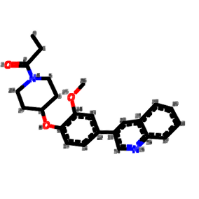 CCC(=O)N1CCC(Oc2ccc(-c3cnc4ccccc4c3)cc2OC)CC1